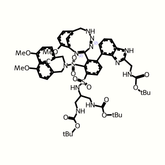 COc1ccc(CN(Cc2ccc(OC)cc2)S(=O)(=O)c2c(S(=O)(=O)NC(CNC(=O)OC(C)(C)C)CNC(=O)OC(C)(C)C)ccc(-c3cccc4[nH]c(CNC(=O)OC(C)(C)C)nc34)c2C2=N/c3cc(ccc3OC)CN/N=N\2)cc1